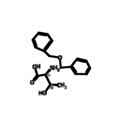 C[C@@H](O)[C@H](N)C(=O)O.c1ccc(COCc2ccccc2)cc1